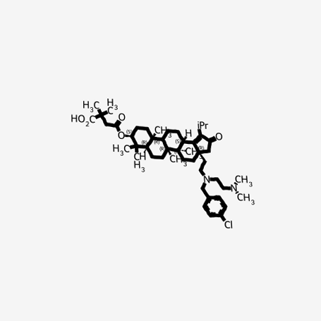 CC(C)C1=C2[C@H]3CCC4[C@@]5(C)CC[C@H](OC(=O)CC(C)(C)C(=O)O)C(C)(C)[C@@H]5CC[C@@]4(C)[C@]3(C)CC[C@@]2(CCN(CCN(C)C)Cc2ccc(Cl)cc2)CC1=O